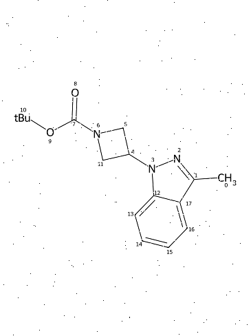 Cc1nn(C2CN(C(=O)OC(C)(C)C)C2)c2ccccc12